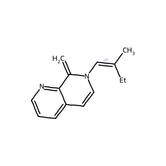 C=C1c2ncccc2C=CN1/C=C(/C)CC